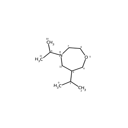 CC(C)C1COCCN(C(C)C)C1